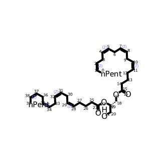 CCCCC/C=C\C/C=C\C/C=C\C/C=C\CCCC(=O)OC[C@H](CO)OC(=O)CCC/C=C\C/C=C\C/C=C\C/C=C\CCCCC